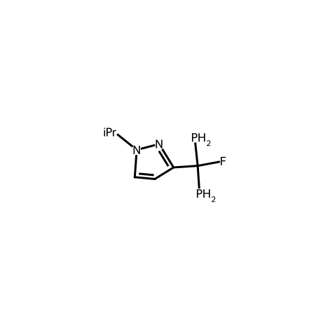 CC(C)n1ccc(C(F)(P)P)n1